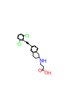 O=C(O)CCNC1CCc2cc(C#Cc3c(Cl)cccc3Cl)ccc2C1